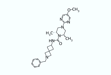 COc1cnc(N2C[C@@H](C)N(C(=O)NC3CC4(C3)CN(Cc3ccccc3)C4)[C@H](C)C2)nc1